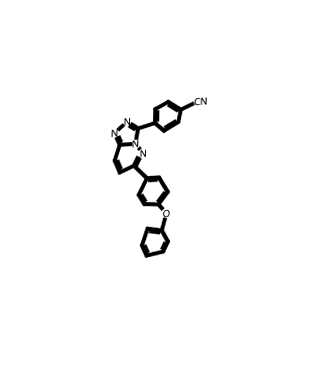 N#Cc1ccc(-c2nnc3ccc(-c4ccc(Oc5ccccc5)cc4)nn23)cc1